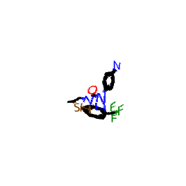 CC(S)CN(C(=O)Nc1ccc(C#N)cc1)c1cccc(C(F)(F)F)c1